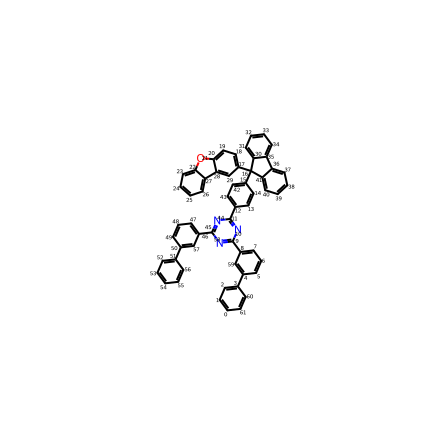 c1ccc(-c2cccc(-c3nc(-c4ccc(C5(c6ccc7oc8ccccc8c7c6)c6ccccc6-c6ccccc65)cc4)nc(-c4cccc(-c5ccccc5)c4)n3)c2)cc1